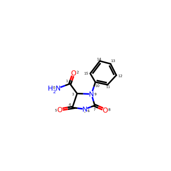 NC(=O)C1C(=O)[N]C(=O)N1c1ccccc1